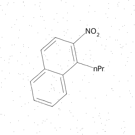 [CH2]CCc1c([N+](=O)[O-])ccc2ccccc12